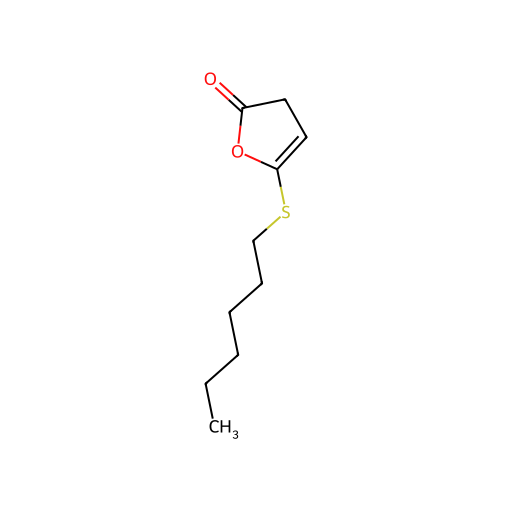 CCCCCCSC1=CCC(=O)O1